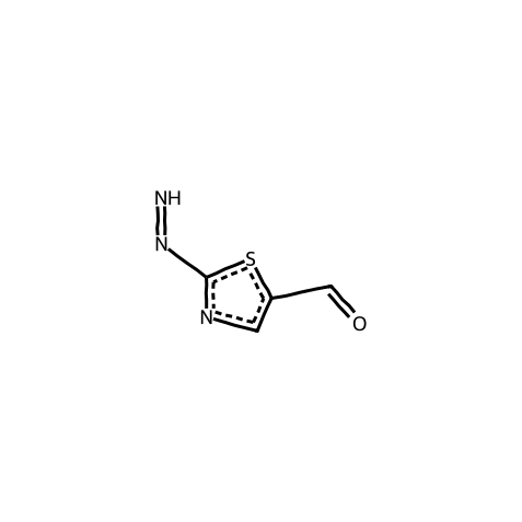 N=Nc1ncc(C=O)s1